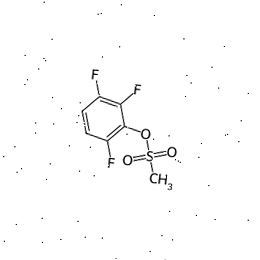 CS(=O)(=O)Oc1c(F)ccc(F)c1F